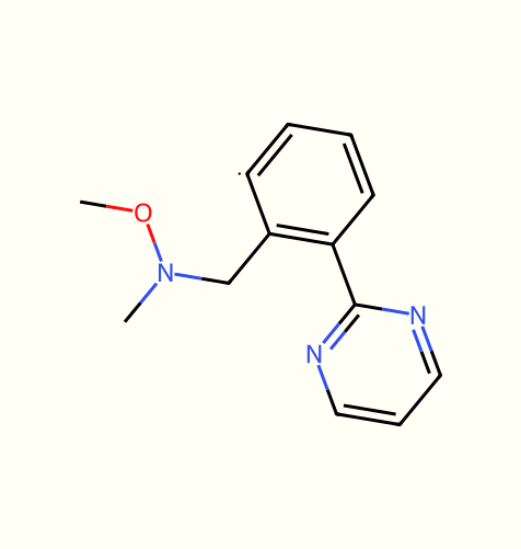 CON(C)Cc1[c]cccc1-c1ncccn1